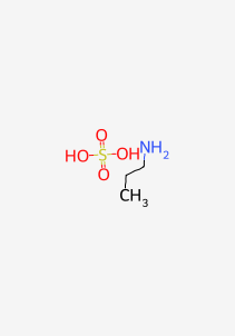 CCCN.O=S(=O)(O)O